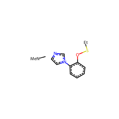 CCSOc1ccccc1-n1ccnc1.CNC